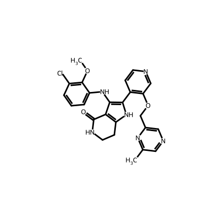 COc1c(Cl)cccc1Nc1c(-c2ccncc2OCc2cncc(C)n2)[nH]c2c1C(=O)NCC2